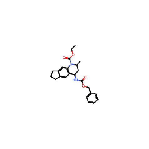 CCOC(=O)N1c2cc3c(cc2C(NC(=O)OCc2ccccc2)CC1C)CCC3